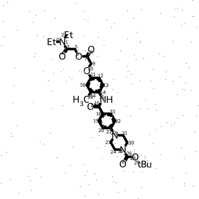 CCN(CC)C(=O)COC(=O)COc1ccc(NC(=O)c2ccc(N3CCN(C(=O)OC(C)(C)C)CC3)cc2)c(C)c1